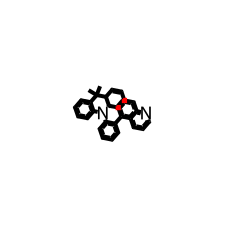 CC1(C)c2ccccc2N(c2ccccc2-c2cccc3ncccc23)C2C=CC=CC21